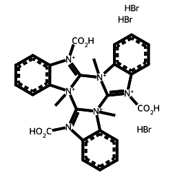 Br.Br.Br.C[N+]12C3=[N+](C(=O)O)c4ccccc4[N+]3(C)C3=[N+](C(=O)O)c4ccccc4[N+]3(C)C1=[N+](C(=O)O)c1ccccc12